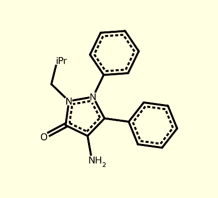 CC(C)Cn1c(=O)c(N)c(-c2ccccc2)n1-c1ccccc1